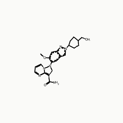 COc1cc2nn(C3CCC(CO)CC3)cc2cc1N1CC(C(N)=O)=C2N=CC=CN21